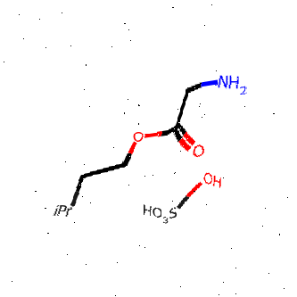 CC(C)CCOC(=O)CN.O=S(=O)(O)O